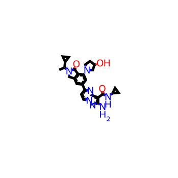 CC(C1CC1)N1Cc2cc(-c3ccn4nc(N)c(C(=O)NC5CC5)c4n3)cc(N3CCC(O)C3)c2C1=O